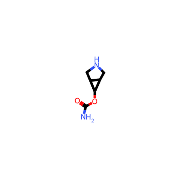 NC(=O)OC1C2CNCC21